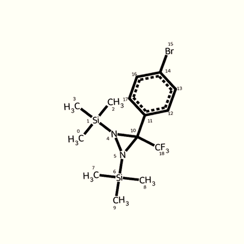 C[Si](C)(C)N1N([Si](C)(C)C)C1(c1ccc(Br)cc1)C(F)(F)F